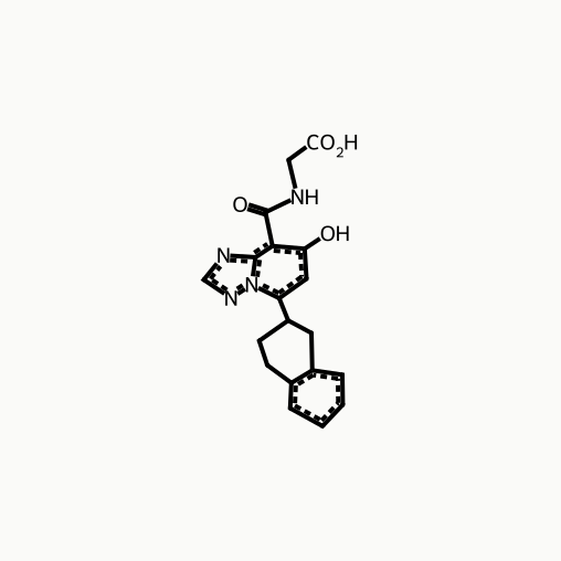 O=C(O)CNC(=O)c1c(O)cc(C2CCc3ccccc3C2)n2ncnc12